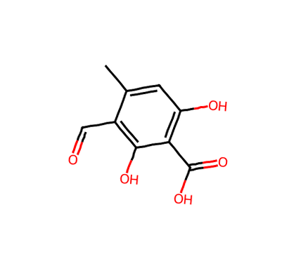 Cc1cc(O)c(C(=O)O)c(O)c1C=O